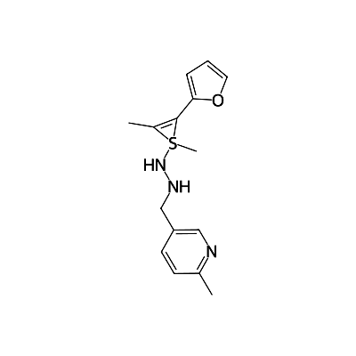 CC1=C(c2ccco2)S1(C)NNCc1ccc(C)nc1